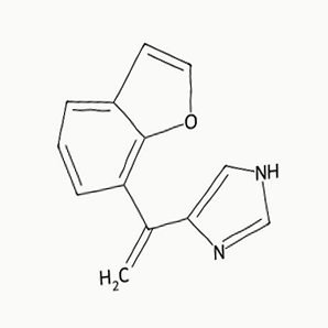 C=C(c1c[nH]cn1)c1cccc2ccoc12